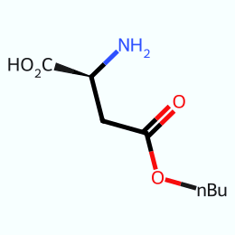 CCCCOC(=O)C[C@H](N)C(=O)O